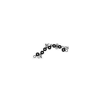 N#Cc1c(Cl)cccc1Oc1ccc(-c2ccc(Oc3cccc(Oc4ccc(S(=O)(=O)c5ccc(Oc6cccc(Cl)c6C#N)cc5)cc4)c3C#N)cc2)cc1